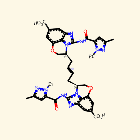 CCn1nc(C)cc1C(=O)Nc1nc2cc(C(=O)O)cc3c2n1[C@@H](C/C=C/C[C@H]1COc2cc(C(=O)O)cc4nc(NC(=O)c5cc(C)nn5CC)n1c24)CO3